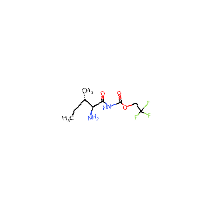 CC[C@H](C)[C@H](N)C(=O)NC(=O)OCC(F)(F)F